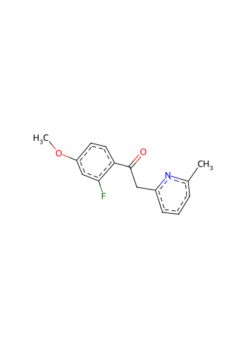 COc1ccc(C(=O)Cc2cccc(C)n2)c(F)c1